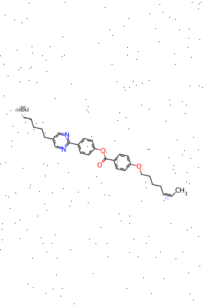 C/C=C\CCCCOc1ccc(C(=O)Oc2ccc(-c3ncc(CCCCC[C@@H](C)CC)cn3)cc2)cc1